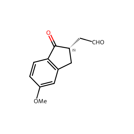 COc1ccc2c(c1)C[C@@H](CC=O)C2=O